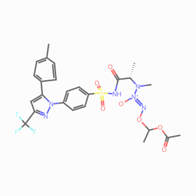 CC(=O)OC(C)O/N=[N+](\[O-])N(C)[C@@H](C)C(=O)NS(=O)(=O)c1ccc(-n2nc(C(F)(F)F)cc2-c2ccc(C)cc2)cc1